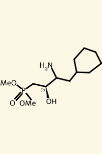 COP(=O)(C[C@H](O)C(N)CC1CCCCC1)OC